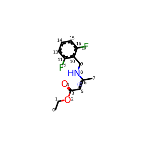 CCOC(=O)/C=C(/C)NCc1c(F)cccc1F